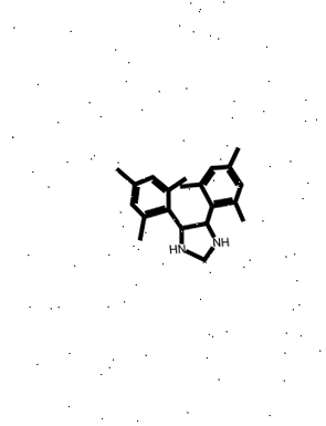 Cc1cc(C)c(C2N[C]NC2c2c(C)cc(C)cc2C)c(C)c1